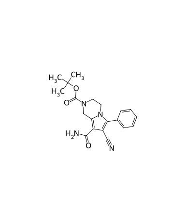 CC(C)(C)OC(=O)N1CCn2c(c(C(N)=O)c(C#N)c2-c2ccccc2)C1